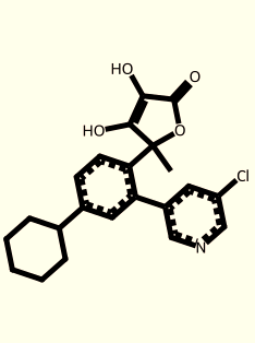 CC1(c2ccc(C3CCCCC3)cc2-c2cncc(Cl)c2)OC(=O)C(O)=C1O